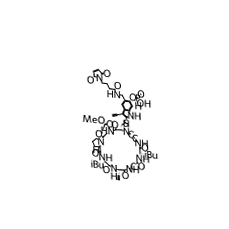 C#Cc1c(SC[C@@H]2NCCNC(=O)[C@H]([C@@H](C)CC)NC(=O)CNC(=O)[C@H](C#C)NC(=O)[C@H]([C@@H](C)CC)NC(=O)[C@@H]3CCCN3C(=O)[C@H](CC(=O)OC)NC2=O)[nH]c2cc(O[PH](=O)O)c(CNC(=O)CCCN3C(=O)C=CC3=O)cc12